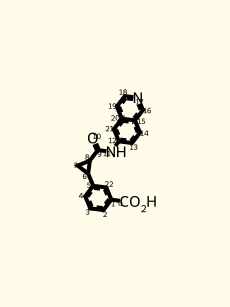 O=C(O)c1cccc(C2CC2C(=O)Nc2ccc3cnccc3c2)c1